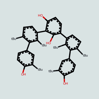 CC(C)(C)c1cc(-c2c(C(C)(C)C)ccc(-c3ccc(O)c(-c4ccc(C(C)(C)C)c(-c5ccc(O)c(C(C)(C)C)c5)c4C(C)(C)C)c3O)c2C(C)(C)C)ccc1O